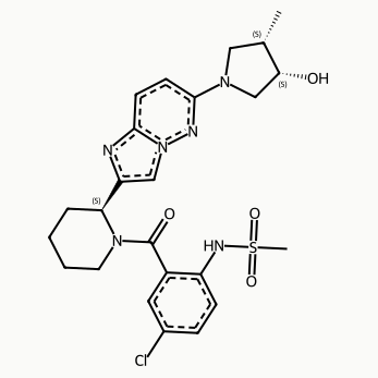 C[C@H]1CN(c2ccc3nc([C@@H]4CCCCN4C(=O)c4cc(Cl)ccc4NS(C)(=O)=O)cn3n2)C[C@H]1O